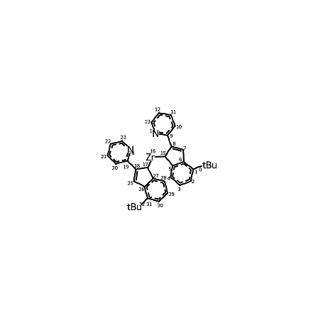 CC(C)(C)c1cccc2c1C=C(c1ccccn1)[CH]2[Zr][CH]1C(c2ccccn2)=Cc2c1cccc2C(C)(C)C